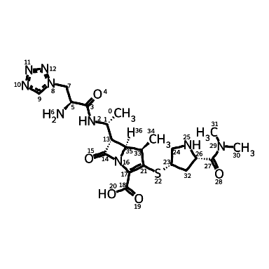 C[C@@H](NC(=O)[C@@H](N)Cn1cnnn1)[C@H]1C(=O)N2C(C(=O)O)=C(S[C@@H]3CN[C@H](C(=O)N(C)C)C3)[C@H](C)[C@H]12